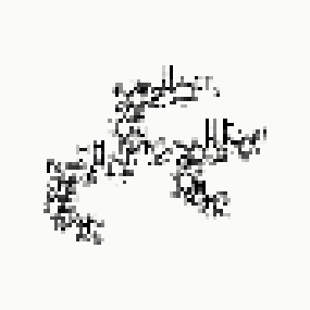 O=C(Nc1cccc(C(F)(F)F)c1)Nc1cc(F)c(Oc2ccc3ncc(N4CCCC4)nc3c2)c(F)c1F.O=C(Nc1cccc(Cl)c1)Nc1cc(F)c(Oc2ccc3ncc(N4CCCC4)nc3c2)c(F)c1F.O=C(Nc1cccc(F)c1)Nc1cc(F)c(Oc2ccc3ncc(N4CCCC4)nc3c2)c(F)c1F